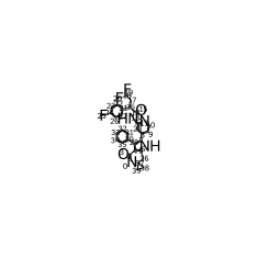 CN1C(=O)c2c([nH]c(-c3ccnc(NC(=O)C(CC(F)F)c4ccc(F)cc4)c3)c2-c2ccccc2)CC12CC2